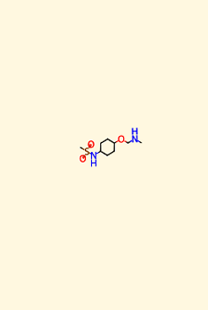 CNCOC1CCC(NS(C)(=O)=O)CC1